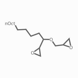 CCCCCCCCCCCCC(OCC1CO1)C1CO1